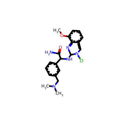 COc1cccc2c1=NC(NC(C(N)=O)c1cccc(CN(C)C)c1)N(Cl)C=2